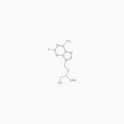 COC(CO)OCn1cnc2c(C)n[c]([Y])nc21